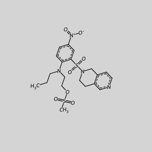 CCCN(CCOS(C)(=O)=O)c1ccc([N+](=O)[O-])cc1S(=O)(=O)N1CCc2cnccc2C1